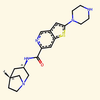 O=C(N[C@@H]1C[C@H]2CCN(C2)C1)c1cc2sc(N3CCNCC3)cc2cn1